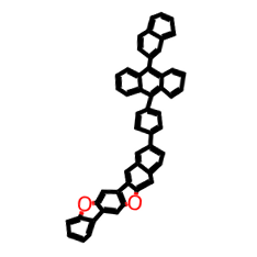 c1ccc2cc(-c3c4ccccc4c(-c4ccc(-c5ccc6cc7oc8cc9c(cc8c7cc6c5)oc5ccccc59)cc4)c4ccccc34)ccc2c1